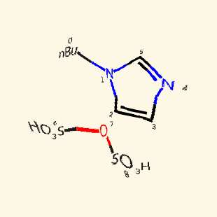 CCCCn1ccnc1.O=S(=O)(O)OS(=O)(=O)O